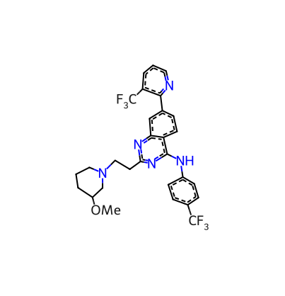 COC1CCCN(CCc2nc(Nc3ccc(C(F)(F)F)cc3)c3ccc(-c4ncccc4C(F)(F)F)cc3n2)C1